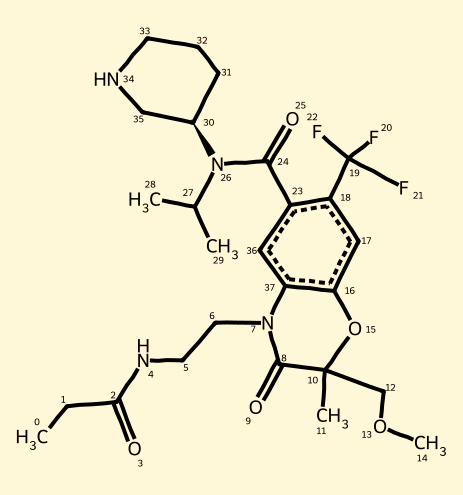 CCC(=O)NCCN1C(=O)C(C)(COC)Oc2cc(C(F)(F)F)c(C(=O)N(C(C)C)[C@@H]3CCCNC3)cc21